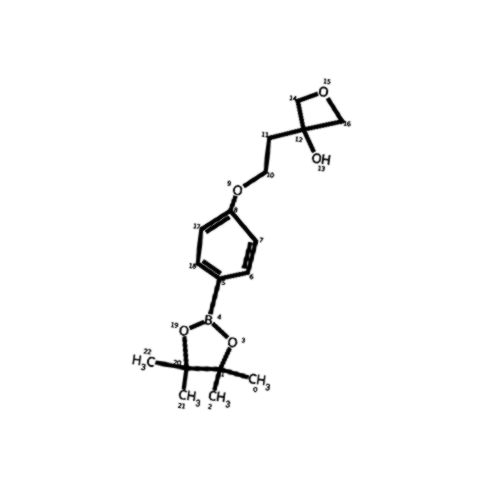 CC1(C)OB(c2ccc(OCCC3(O)COC3)cc2)OC1(C)C